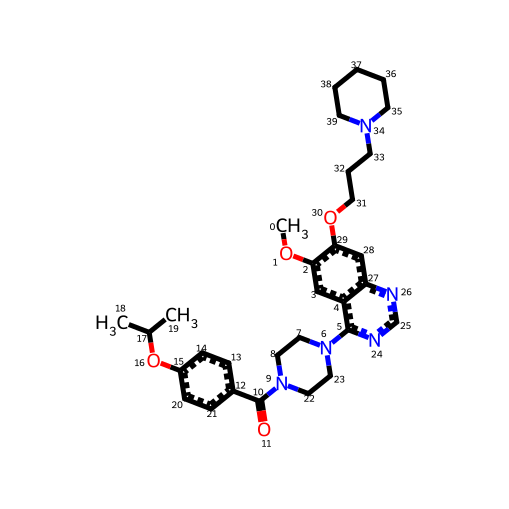 COc1cc2c(N3CCN(C(=O)c4ccc(OC(C)C)cc4)CC3)ncnc2cc1OCCCN1CCCCC1